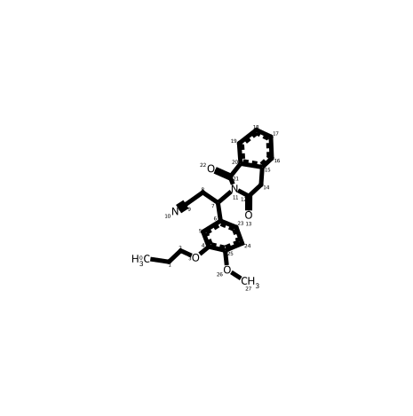 CCCOc1cc(C(CC#N)N2C(=O)Cc3ccccc3C2=O)ccc1OC